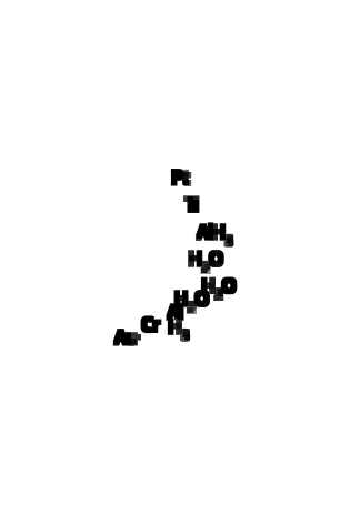 O.O.O.[AlH3].[AlH3].[Au].[Cr].[Pt].[Ti]